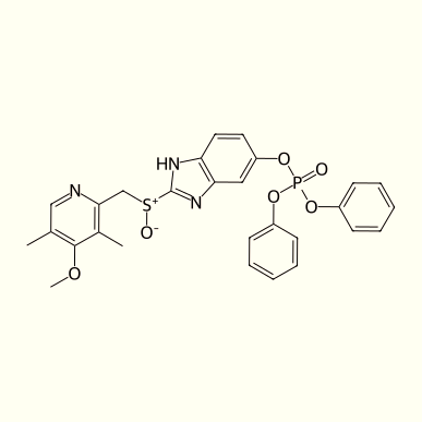 COc1c(C)cnc(C[S+]([O-])c2nc3cc(OP(=O)(Oc4ccccc4)Oc4ccccc4)ccc3[nH]2)c1C